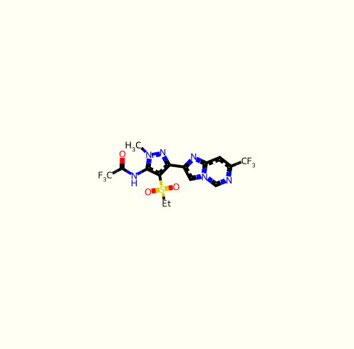 CCS(=O)(=O)c1c(-c2cn3cnc(C(F)(F)F)cc3n2)nn(C)c1NC(=O)C(F)(F)F